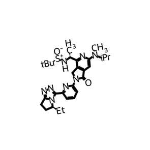 CC[C@H]1CCc2nnc(-c3cccc(N4Cc5c(cc(N(C)C(C)C)nc5[C@@H](C)N[S@@+]([O-])C(C)(C)C)C4=O)n3)n21